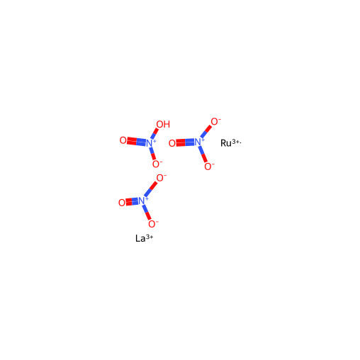 O=[N+]([O-])O.O=[N+]([O-])[O-].O=[N+]([O-])[O-].[La+3].[Ru+3]